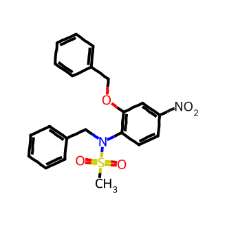 CS(=O)(=O)N(Cc1ccccc1)c1ccc([N+](=O)[O-])cc1OCc1ccccc1